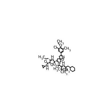 CCC[C@H](NC(=O)[C@@H]1C[C@]2(CC(c3cc(C)c(OCC)c(Cl)c3)=NO2)CN1C(=O)[C@@H](NC(=O)CC1CCCCC1)C(C)(C)C)C(=O)C(=O)NC1CC1